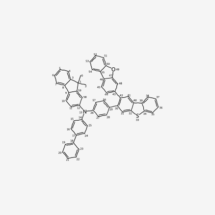 CC1(C)c2ccccc2-c2ccc(N(c3ccc(-c4ccccc4)cc3)c3ccc(-c4cc5sc6ccccc6c5cc4-c4ccc5c(c4)oc4ccccc45)cc3)cc21